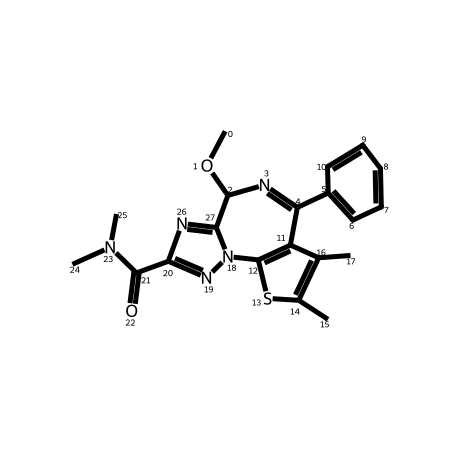 COC1N=C(c2ccccc2)c2c(sc(C)c2C)-n2nc(C(=O)N(C)C)nc21